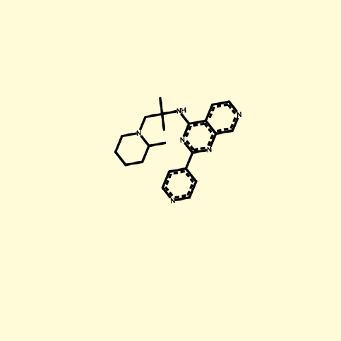 CC1CCCCN1CC(C)(C)Nc1nc(-c2ccncc2)nc2cnccc12